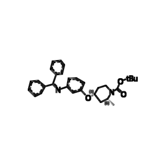 C[C@@H]1C[C@H](Oc2cccc(N=C(c3ccccc3)c3ccccc3)c2)CCN1C(=O)OC(C)(C)C